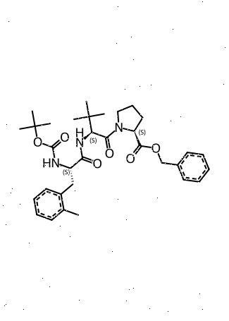 Cc1ccccc1C[C@H](NC(=O)OC(C)(C)C)C(=O)N[C@H](C(=O)N1CCC[C@H]1C(=O)OCc1ccccc1)C(C)(C)C